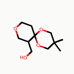 CC1(C)COC2(CCOCC2CO)OC1